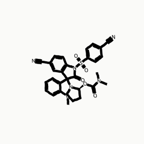 COc1ccccc1C1(N2CCC[C@@H]2OC(=O)N(C)C)C(=O)N(S(=O)(=O)c2ccc(C#N)cc2)c2ccc(C#N)cc21